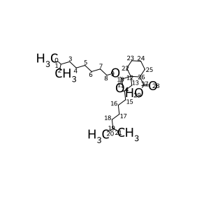 CC(C)CCCCCCOC(=O)C1(CCCCCCC(C)C)CCCCC1C(=O)O